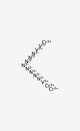 [Cr+3].[Cr+3].[Cr+3].[N-3].[N-3].[N-3].[N-3].[N-3].[N-3].[N-3].[N-3].[V+5].[V+5].[V+5]